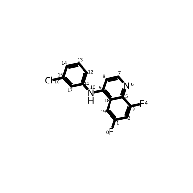 Fc1cc(F)c2nccc(Nc3cccc(Cl)c3)c2c1